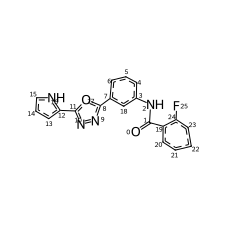 O=C(Nc1cccc(-c2nnc(-c3ccc[nH]3)o2)c1)c1ccccc1F